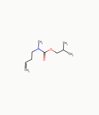 C=CCCN(C)C(=O)OCC(C)C